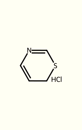 C1=CN=CSC1.Cl